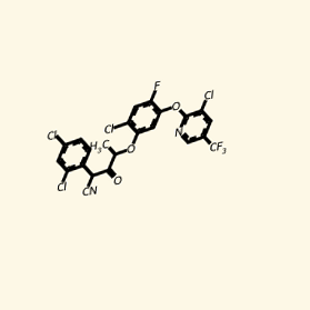 CC(Oc1cc(Oc2ncc(C(F)(F)F)cc2Cl)c(F)cc1Cl)C(=O)C(C#N)c1ccc(Cl)cc1Cl